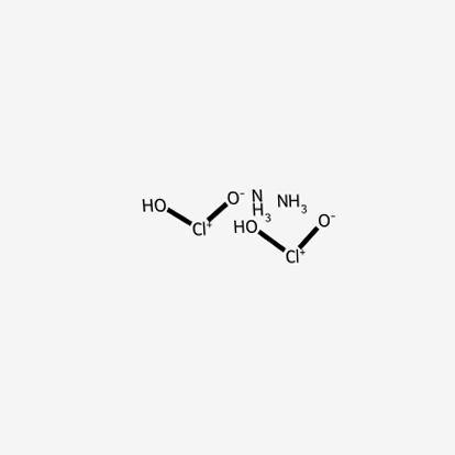 N.N.[O-][Cl+]O.[O-][Cl+]O